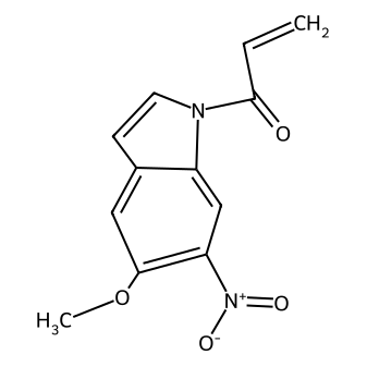 C=CC(=O)n1ccc2cc(OC)c([N+](=O)[O-])cc21